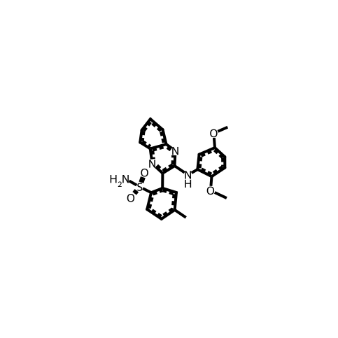 COc1ccc(OC)c(Nc2nc3ccccc3nc2-c2cc(C)ccc2S(N)(=O)=O)c1